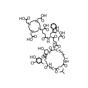 CC(C)C[C@@H]1CC(=O)CNC(=O)[C@H](Cc2ccc(O)c(Cl)c2)CC(=O)[C@@H]2C[C@@H](O)CN2C(=O)[C@@H](NC(=O)[C@@H](CCC(=O)O)CC(=O)[C@H](Cc2c[nH]c3ccccc23)NC(=O)CCC(C(=O)O)N2CCN(CC(=O)O)CCN(CC(=O)O)CCN(CC(=O)O)CC2)CSSC[C@@H](C)NC1=O